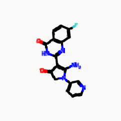 NC1=C(c2nc3cc(F)ccc3c(=O)[nH]2)C(=O)CN1c1cccnc1